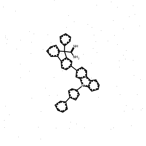 N=C(N)C1(c2ccccc2)c2ccccc2-c2ccc(-c3ccc4c5ccccc5n(-c5ccc(-c6ccccc6)cc5)c4c3)cc21